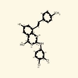 Cc1ccc(/C=C/c2cc(F)cc3c(O)nc(Nc4ccc(Cl)c(Cl)c4)nc23)cc1